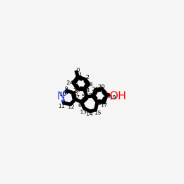 Cc1ccc(C2=C(C3=CC=NCC3)CCCc3cc(O)ccc32)cc1